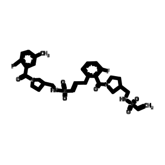 C=CS(=O)(=O)NCC1CCN(C(=O)c2c(F)cccc2C/C=C/S(=O)(=O)NCC2CCN(C(=O)c3cc(C)ccc3F)C2)C1